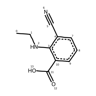 CCNc1c(C#N)cccc1C(=O)O